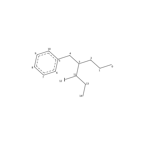 CCCC(Cc1ccccc1)C(I)CC